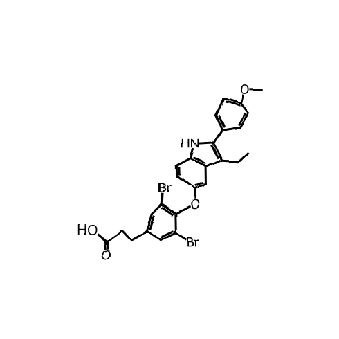 CCc1c(-c2ccc(OC)cc2)[nH]c2ccc(Oc3c(Br)cc(CCC(=O)O)cc3Br)cc12